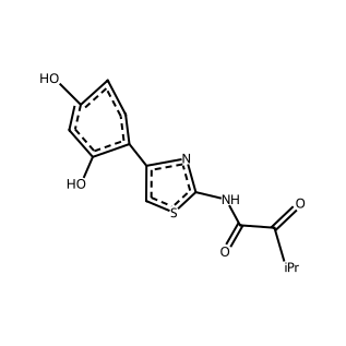 CC(C)C(=O)C(=O)Nc1nc(-c2ccc(O)cc2O)cs1